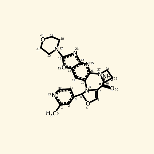 Cc1cc(C2OC=C(C(N)=O)N2c2cc3oc(N4CCOCC4)nc3nc2N2CCC2)ccn1